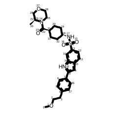 COCCc1ccc(-c2cc3ccc(S(=O)(=O)N[C@H]4CC[C@H](C(=O)N5CCOC[C@@H]5C)CC4)cc3[nH]2)cc1